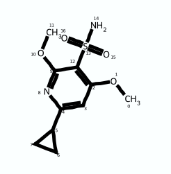 COc1cc(C2CC2)nc(OC)c1S(N)(=O)=O